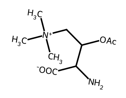 CC(=O)OC(C[N+](C)(C)C)C(N)C(=O)[O-]